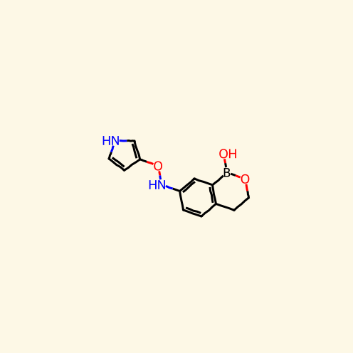 OB1OCCc2ccc(NOc3cc[nH]c3)cc21